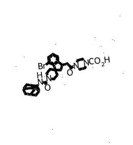 O=C(O)N1CCN(C(=O)CC2CC3(CCN(C(=O)NC4C5CC6CC(C5)CC4C6)CC3)c3c(Br)cccc32)CC1